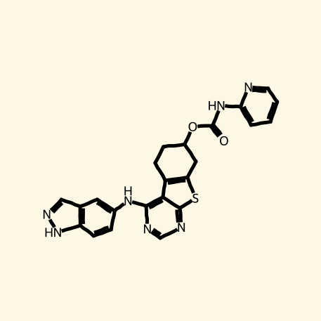 O=C(Nc1ccccn1)OC1CCc2c(sc3ncnc(Nc4ccc5[nH]ncc5c4)c23)C1